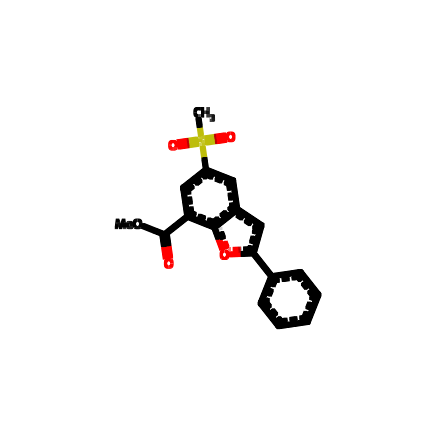 COC(=O)c1cc(S(C)(=O)=O)cc2cc(-c3ccccc3)oc12